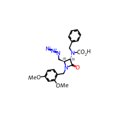 COc1ccc(CN2C(=O)[C@@H](N(Cc3ccccc3)C(=O)O)[C@@H]2CN=[N+]=[N-])c(OC)c1